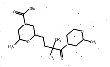 CC1CN(C(=O)C(C)(C)CCC2CN(C(=O)C(C)(C)C)CC(C)O2)CCO1